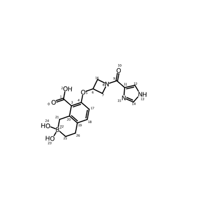 O=C(O)c1c(OC2CN(C(=O)c3c[nH]cn3)C2)ccc2c1C[B-](O)(O)CC2